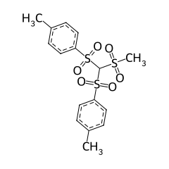 Cc1ccc(S(=O)(=O)C(S(C)(=O)=O)S(=O)(=O)c2ccc(C)cc2)cc1